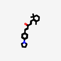 CC1=C(/C=C/C(=O)/C=C/c2ccc(N3CCCC3)cc2)C(C)(C)CCC1